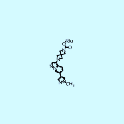 Cn1cc(-c2ccc3c(N4CC5(CN(C(=O)OC(C)(C)C)C5)C4)cnn3c2)cn1